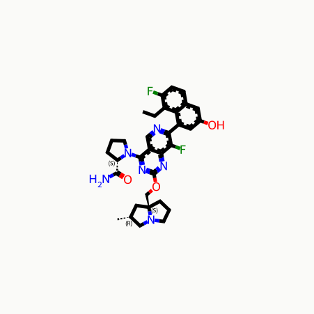 CCc1c(F)ccc2cc(O)cc(-c3ncc4c(N5CCC[C@H]5C(N)=O)nc(OC[C@@]56CCCN5C[C@H](C)C6)nc4c3F)c12